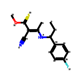 CCC(NC(C)=C(C#N)C(=S)OC)c1ccc(F)cc1